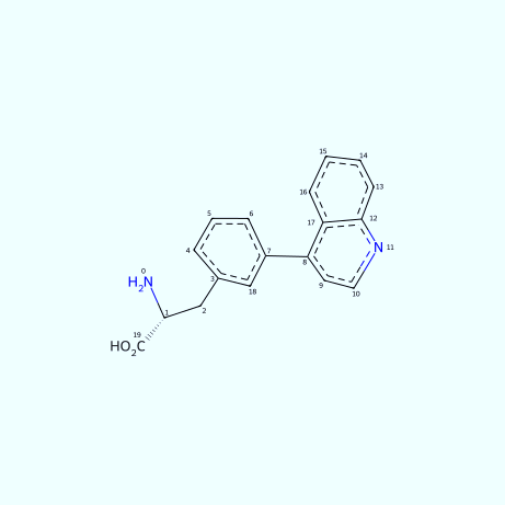 N[C@H](Cc1cccc(-c2ccnc3ccccc23)c1)C(=O)O